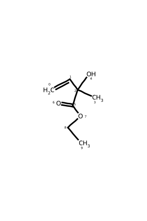 C=CC(C)(O)C(=O)OCC